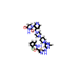 Cc1nc(Nc2ncc(C(=O)Nc3c(C)cccc3Cl)s2)cc(N2CCC(N3CCN(Cc4ccncc4N4CCC(=O)NC4=O)CC3)CC2)n1